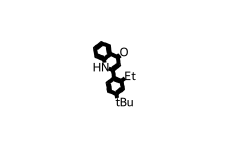 CCc1cc(C(C)(C)C)ccc1-c1cc(=O)c2ccccc2[nH]1